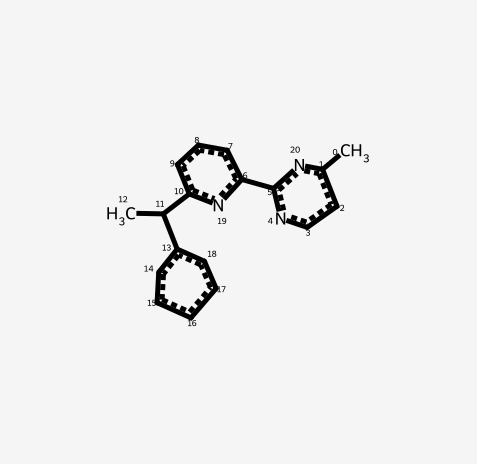 Cc1ccnc(-c2cccc(C(C)c3ccccc3)n2)n1